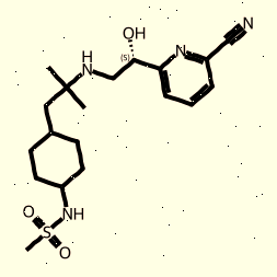 CC(C)(CC1CCC(NS(C)(=O)=O)CC1)NC[C@H](O)c1cccc(C#N)n1